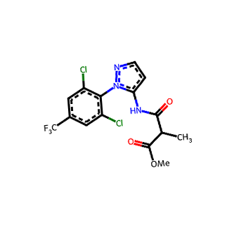 COC(=O)C(C)C(=O)Nc1ccnn1-c1c(Cl)cc(C(F)(F)F)cc1Cl